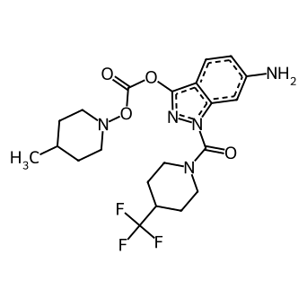 CC1CCN(OC(=O)Oc2nn(C(=O)N3CCC(C(F)(F)F)CC3)c3cc(N)ccc23)CC1